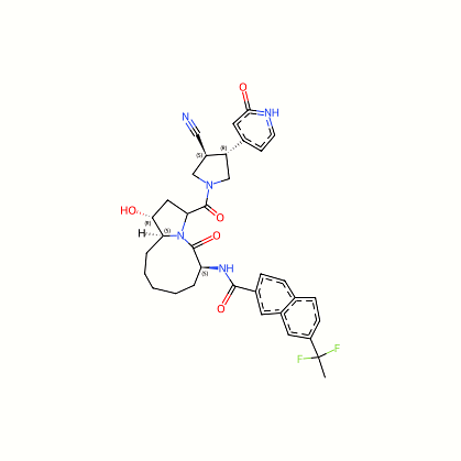 CC(F)(F)c1ccc2ccc(C(=O)N[C@H]3CCCCC[C@H]4[C@H](O)CC(C(=O)N5C[C@@H](C#N)[C@H](c6cc[nH]c(=O)c6)C5)N4C3=O)cc2c1